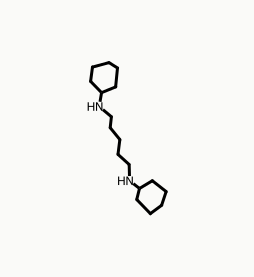 C(CCNC1CCCCC1)CCNC1CCCCC1